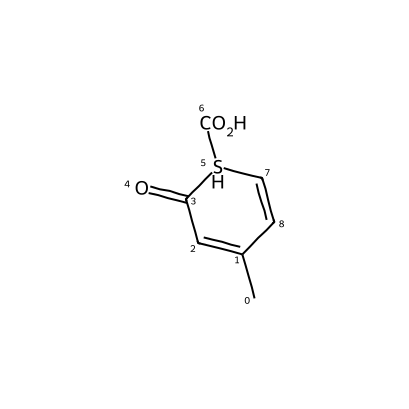 CC1=CC(=O)[SH](C(=O)O)C=C1